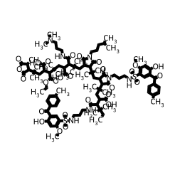 CCOC(=O)C(C(CC(C)(C)C1C(=O)OC(=O)C1C)C(=O)O)C(C)(C)CC(C(=O)O)C(C(=O)NCCCN(C)C)C(C)(C)CC1C(=O)N(CCCC(C)C)C(=O)C1C(C)(C)CC1C(=O)N(CCCNS(=O)(=O)c2cc(C(=O)c3ccc(C)cc3)c(O)cc2OC)C(=O)C1C(C)(C)CC(C(=O)O)C(C(=O)NCCCNS(=O)(=O)c1cc(C(=O)c2ccc(C)cc2)c(O)cc1OC)C(C)(C)CC